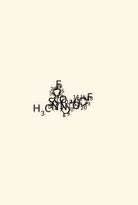 Cc1nc(C(=O)N2CCCC[C@H]2Cc2cc3cc(F)ccc3o2)c(-c2ccc(F)cc2)s1